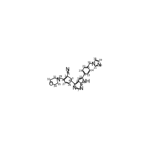 N#Cc1cc(-c2ncnc3[nH]c(-c4ccc(Cn5ccnc5)cc4)cc23)ccc1CN1CCOCC1